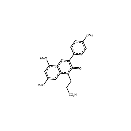 COc1ccc(-c2cc3c(OC)cc(OC)cc3n(CCC(=O)O)c2=O)cc1